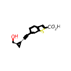 O=C(O)c1cc2ccc(C#C[C@@H]3C[C@H]3CO)cc2s1